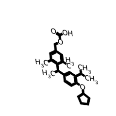 Cc1cc(COC(=O)O)cc(C)c1C(C)c1ccc(OC2CCCC2)c(C(C)C)c1